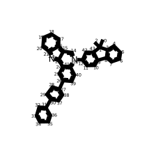 CC1(C)c2ccccc2-c2ccc(-n3cc4c5ccccc5nc-4c4cc(-c5ccc(-c6ccccc6)cc5)ccc43)cc21